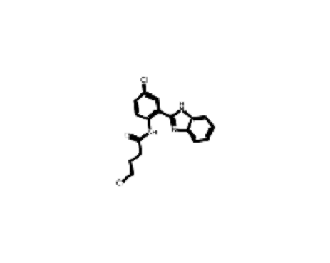 O=C(CCCCl)Nc1ccc(Cl)cc1-c1nc2ccccc2[nH]1